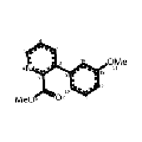 COC(=O)c1ncccc1-c1cccc(OC)c1